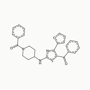 O=C(c1ccccc1)c1sc(NC2CCN(C(=O)c3ccccc3)CC2)nc1-c1ccco1